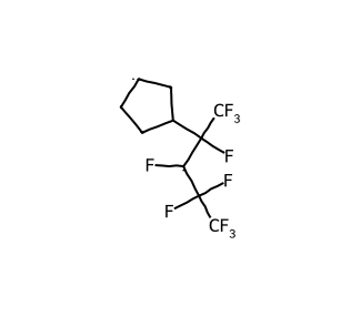 F[C](C(F)(F)C(F)(F)F)C(F)(C1C[CH]CC1)C(F)(F)F